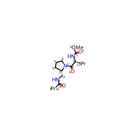 COC(=O)N[C@H](C(=O)N1CCC[C@H]1CNC(=O)C(C)C)C(C)C